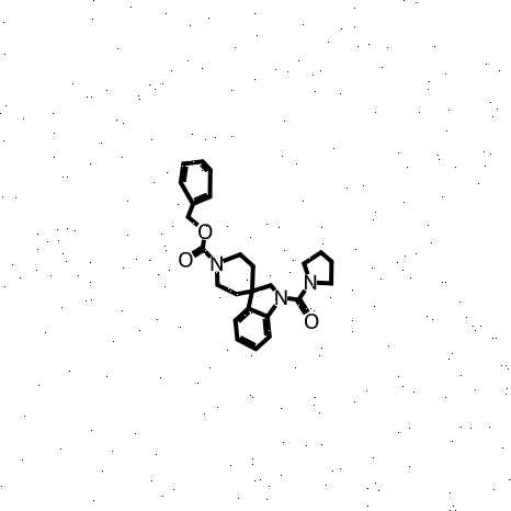 O=C(OCc1ccccc1)N1CCC2(CC1)CN(C(=O)N1CCCC1)c1ccccc12